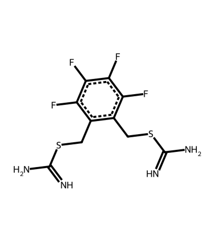 N=C(N)SCc1c(F)c(F)c(F)c(F)c1CSC(=N)N